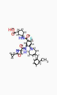 Cc1ccccc1CC1=CCCN(c2cc(F)c(C(=O)N[C@@H]3CCC[C@H](C(=O)O)C3)cc2NC(=O)c2coc(C3CC3)n2)CC1